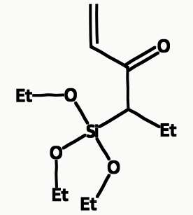 C=CC(=O)C(CC)[Si](OCC)(OCC)OCC